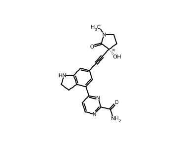 CN1CC[C@@](O)(C#Cc2cc3c(c(-c4ccnc(C(N)=O)n4)c2)CCN3)C1=O